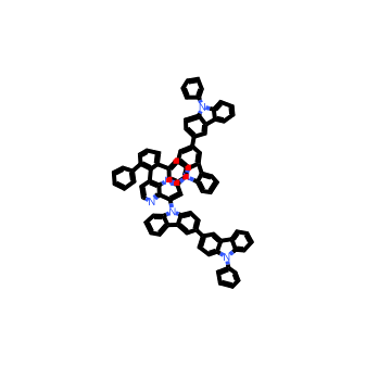 c1ccc(-c2cccc(-c3ccccc3)c2-c2ccnc3c(-n4c5ccccc5c5cc(-c6ccc7c(c6)c6ccccc6n7-c6ccccc6)ccc54)cc(-n4c5ccccc5c5cc(-c6ccc7c(c6)c6ccccc6n7-c6ccccc6)ccc54)nc23)cc1